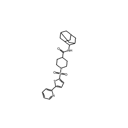 O=C(NC1C2CC3CC(C2)CC1C3)C1CCN(S(=O)(=O)c2ccc(-c3ccccn3)s2)CC1